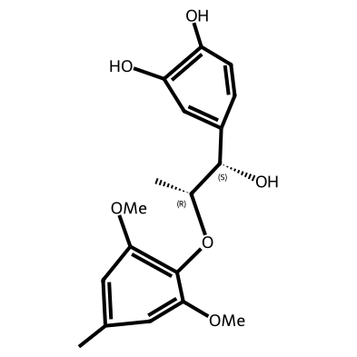 COc1cc(C)cc(OC)c1O[C@H](C)[C@@H](O)c1ccc(O)c(O)c1